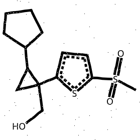 CS(=O)(=O)c1ccc(C2(CO)CC2C2CCCC2)s1